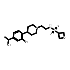 CC(S)c1ccc(C2CCN(CCNS(=O)(=O)C3COC3)CC2)c(Cl)c1